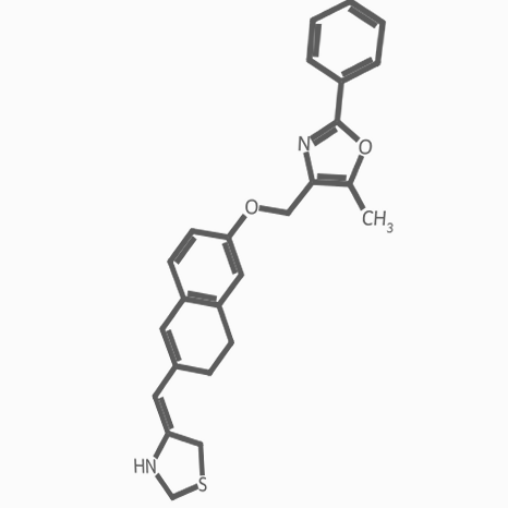 Cc1oc(-c2ccccc2)nc1COc1ccc2c(c1)CCC(/C=C1\CSCN1)=C2